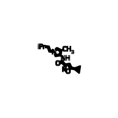 CC(C)CCN1C[C@H](NC(=O)c2cc(C3CC3)on2)[C@@H](C)C1